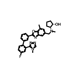 Cc1cc(CN(C)[C@@H]2CCC[C@@H]2O)cc2nc(-c3cccc(-c4ccc(F)cc4-c4nncn4C)c3)oc12